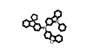 c1ccc(-n2c3ccccc3c3ccc(N(c4ccc5c(c4)C4(CCCC4)c4ccccc4-5)c4ccc5oc6ccccc6c5c4)cc32)cc1